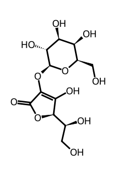 O=C1O[C@H]([C@@H](O)CO)C(O)=C1O[C@@H]1O[C@H](CO)[C@H](O)[C@H](O)[C@H]1O